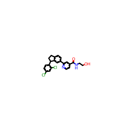 O=C(NCCO)c1ccnc(-c2ccc3c(c2)C(c2ccc(Cl)cc2Cl)CC3)c1